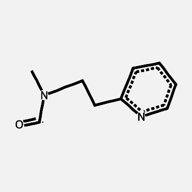 CN([C]=O)CCc1ccccn1